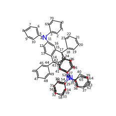 c1ccc(N(c2ccccc2)c2ccc3c(c2)C2(c4ccccc4)c4ccc(N(c5ccccc5)c5ccccc5)cc4C3(c3ccccc3)c3cc(N(c4ccccc4)c4ccccc4)ccc32)cc1